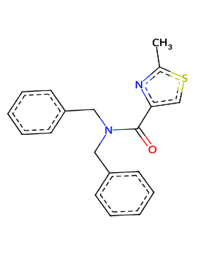 Cc1nc(C(=O)N(Cc2ccccc2)Cc2ccccc2)cs1